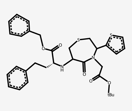 CC(C)(C)OC(=O)CN1C(=O)C(N[C@H](CCc2ccccc2)C(=O)OCc2ccccc2)CSCC1c1cccs1